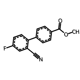 COC(=O)c1ccc(-c2ccc(F)cc2C#N)cc1